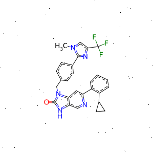 Cn1cc(C(F)(F)F)nc1-c1ccc(Cn2c(=O)[nH]c3cnc(-c4ccccc4C4CC4)cc32)cc1